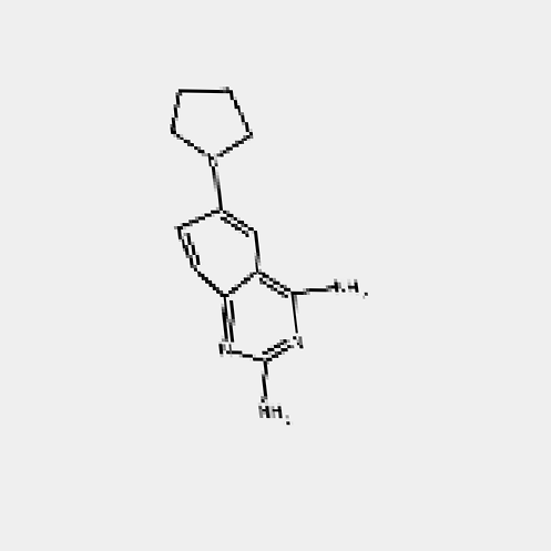 Nc1nc(N)c2cc(N3CCCC3)ccc2n1